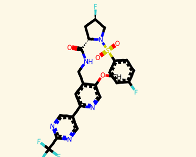 COc1cnc(-c2cnc(C(F)(F)F)nc2)cc1CNC(=O)[C@@H]1C[C@@H](F)CN1S(=O)(=O)c1ccc(F)cc1